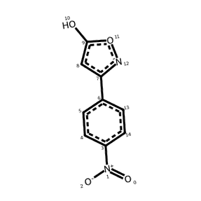 O=[N+]([O-])c1ccc(-c2cc(O)on2)cc1